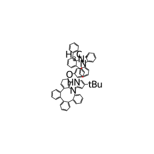 CC(C)(C)c1c[nH]c(-n2c3c(c4ccccc4c4ccccc4c4ccccc42)=CCC(Oc2cccc(N4c5ccccc5[N+]4(C)c4c(-c5ccccc5)cccc4-c4ccccc4)c2)C=3)c1